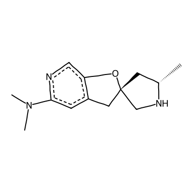 C[C@H]1C[C@@]2(CN1)Cc1cc(N(C)C)ncc1O2